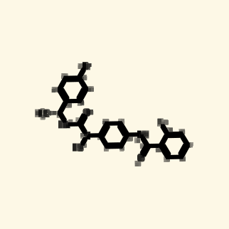 C[C@@H](NC(=O)N(S)c1ccc(NC(=O)c2ccccc2F)cc1)c1ccc(Br)cc1